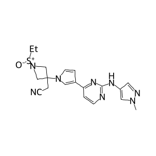 CC[S+]([O-])N1CC(CC#N)(n2ccc(-c3ccnc(Nc4cnn(C)c4)n3)c2)C1